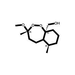 CO[C@@]1(C)CCC2[C@H](C)CCC[C@]2(CO)OO1